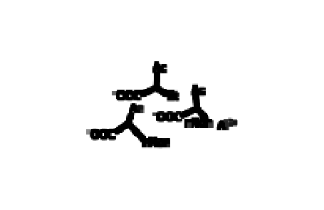 CCC(C(C)=O)C(=O)[O-].CCCCCCCCCC(C(C)=O)C(=O)[O-].CCCCCCCCCC(C(C)=O)C(=O)[O-].[Al+3]